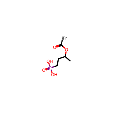 CC(CCP(=O)(O)O)OC(=O)C(C)C